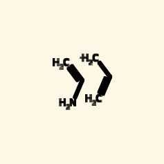 C=CN.[CH2]C=C